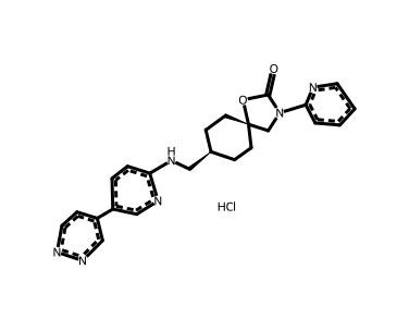 Cl.O=C1O[C@]2(CC[C@H](CNc3ccc(-c4ccnnc4)cn3)CC2)CN1c1ccccn1